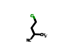 [CH2]C(C#N)CCCl